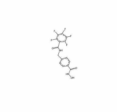 O=C(NO)c1ccc(CNC(=O)c2c(F)c(F)c(F)c(F)c2F)cc1